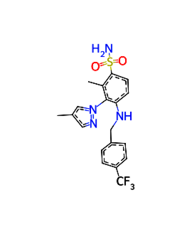 Cc1cnn(-c2c(NCc3ccc(C(F)(F)F)cc3)ccc(S(N)(=O)=O)c2C)c1